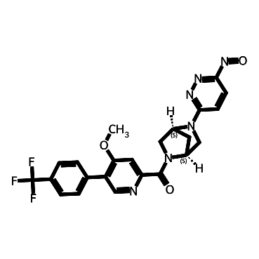 COc1cc(C(=O)N2C[C@@H]3C[C@H]2CN3c2ccc(N=O)nn2)ncc1-c1ccc(C(F)(F)F)cc1